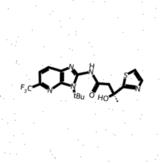 CC(C)(C)n1c(NC(=O)C[C@](C)(O)c2nccs2)nc2ccc(C(F)(F)F)nc21